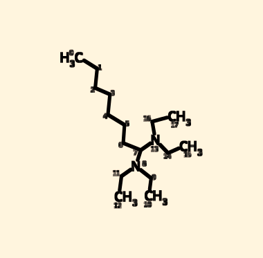 CCCCCCCC(N(CC)CC)N(CC)CC